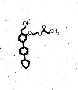 C=CC(=O)OCCOc1cc(-c2ccc(C3CCCCC3)cc2)ccc1CCO